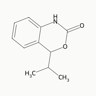 CC(C)C1OC(=O)Nc2ccccc21